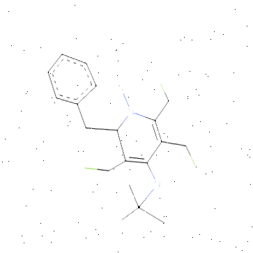 CC(C)(C)NC1=C(CF)C(Cc2ccccc2)N(N)C(CF)=C1CF